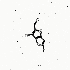 O=Cc1sc2cc(F)sc2c1Cl